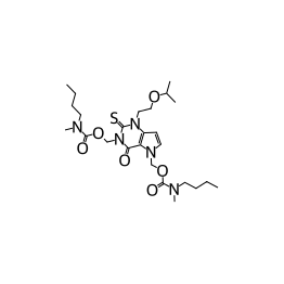 CCCCN(C)C(=O)OCn1c(=O)c2c(ccn2COC(=O)N(C)CCCC)n(CCOC(C)C)c1=S